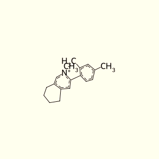 Cc1ccc(-c2cc3c(c[n+]2C)CCCC3)c(C)c1